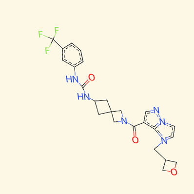 O=C(Nc1cccc(C(F)(F)F)c1)NC1CC2(C1)CN(C(=O)c1cnn3ccn(CC4COC4)c13)C2